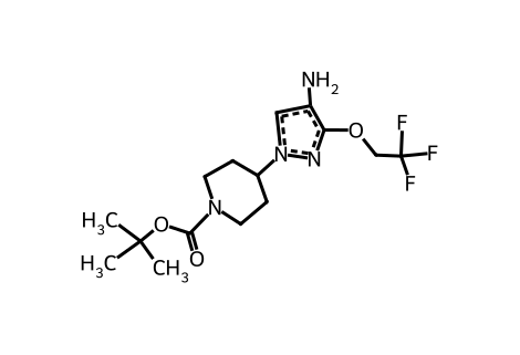 CC(C)(C)OC(=O)N1CCC(n2cc(N)c(OCC(F)(F)F)n2)CC1